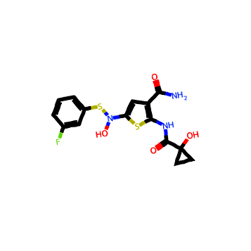 NC(=O)c1cc(N(O)Sc2cccc(F)c2)sc1NC(=O)C1(O)CC1